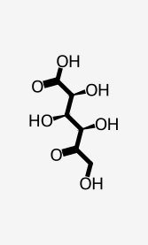 O=C(O)[C@@H](O)[C@H](O)[C@@H](O)C(=O)CO